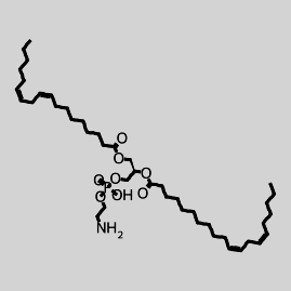 CCCCC/C=C\C/C=C\CCCCCCCCCC(=O)O[C@H](COC(=O)CCCCCCC/C=C\C/C=C\CCCCC)COP(=O)(O)OCCN